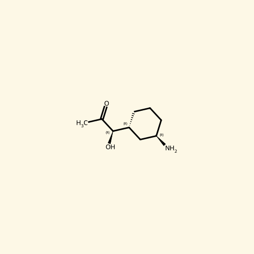 CC(=O)[C@H](O)[C@@H]1CCC[C@@H](N)C1